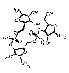 B[C@@H]1O[C@H](COP(=O)(O)OC2[C@@H](COP(=O)(O)OC3[C@@H](CO)O[C@@H](B)[C@H]3O)O[C@@H](B)[C@H]2O)C(O)[C@@H]1O